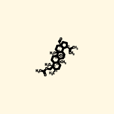 C=C(C)[C@@H]1CC[C@]2(C=O)CC[C@]3(C)C(CCC4[C@@]5(C)CC[C@H](C)[C@@](C)(COC(C)=O)C5CC[C@]43C)C12